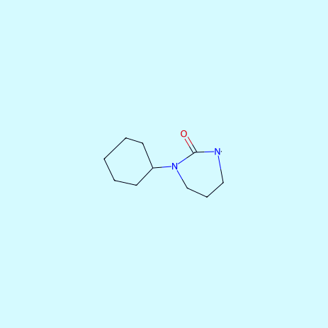 O=C1[N]CCCN1C1CCCCC1